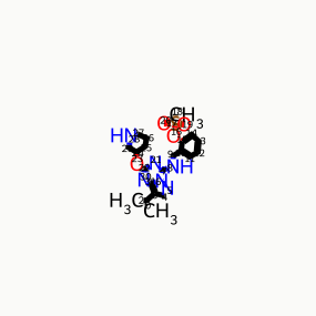 CC(C)c1cnn2c(NCc3ccccc3OS(C)(=O)=O)nc(OC3CCCNC3)nc12